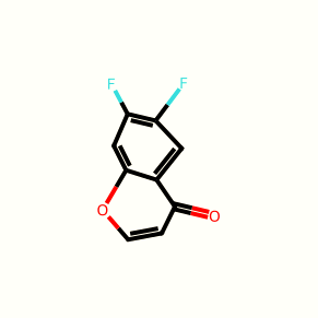 O=c1ccoc2cc(F)c(F)cc12